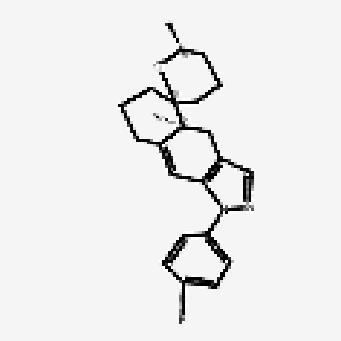 C[C@H]1CCC[C@@]2(CCCC3=Cc4c(cnn4-c4ccc(F)cc4)C[C@@]32C)O1